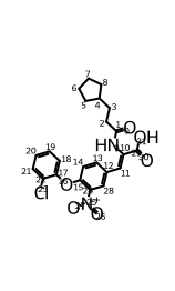 O=C(CCC1CCCC1)N/C(=C\c1ccc(Oc2ccccc2Cl)c([N+](=O)[O-])c1)C(=O)O